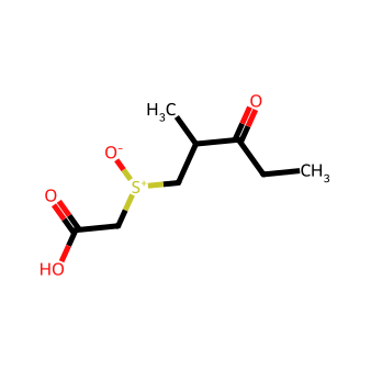 CCC(=O)C(C)C[S+]([O-])CC(=O)O